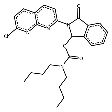 CCCCN(CCCC)C(=O)OC1c2ccccc2C(=O)N1c1ccc2ccc(Cl)nc2n1